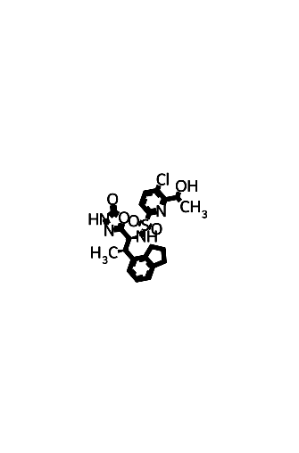 CC(O)c1nc(S(=O)(=O)N[C@H](c2n[nH]c(=O)o2)[C@H](C)c2cccc3c2CCC3)ccc1Cl